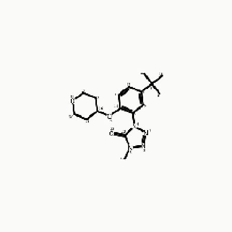 Cn1nnn(-c2cc(C(C)(C)C)ccc2OC2CCOCC2)c1=O